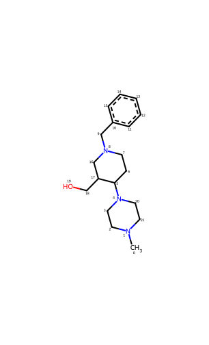 CN1CCN(C2CCN(Cc3ccccc3)CC2CO)CC1